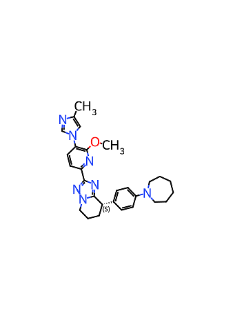 COc1nc(-c2nc3n(n2)CCC[C@H]3c2ccc(N3CCCCCC3)cc2)ccc1-n1cnc(C)c1